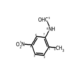 Cc1ccc([N+](=O)[O-])cc1NC=O